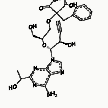 C#C[C@@H](O)[C@@H](O[C@@H](CO)COC(Cc1ccccc1)(C(=O)O)C(=O)O)n1cnc2c(N)nc(C(C)O)nc21